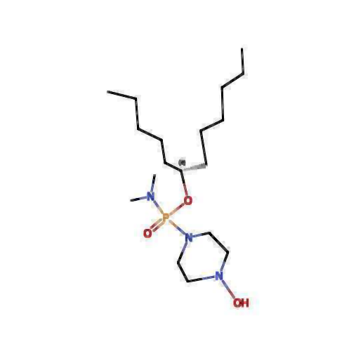 CCCCCC[C@@H](CCCCC)OP(=O)(N(C)C)N1CCN(O)CC1